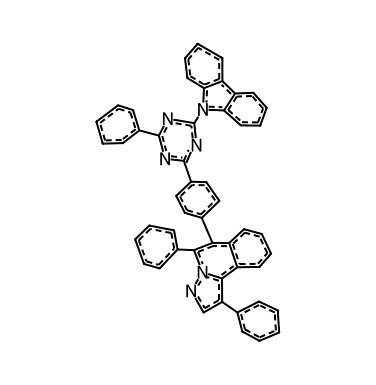 c1ccc(-c2nc(-c3ccc(-c4c(-c5ccccc5)n5ncc(-c6ccccc6)c5c5ccccc45)cc3)nc(-n3c4ccccc4c4ccccc43)n2)cc1